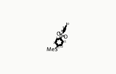 CSc1ccc(S(=O)(=O)C#CI)cc1